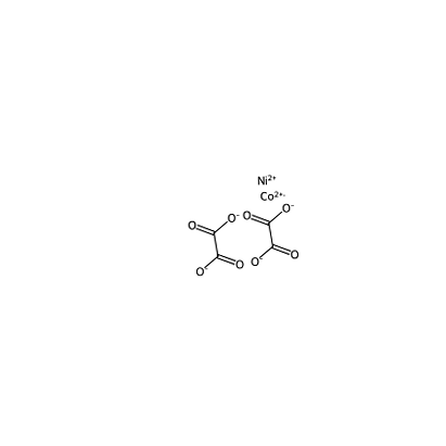 O=C([O-])C(=O)[O-].O=C([O-])C(=O)[O-].[Co+2].[Ni+2]